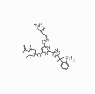 C=C(C)C[C@@H](C)C[C@H](CCC)Oc1cc(O[C@@H](C)[C@@H](C)C[C@H](F)CNC)nc(-c2noc(C(C)(C)c3ccccc3P)n2)n1